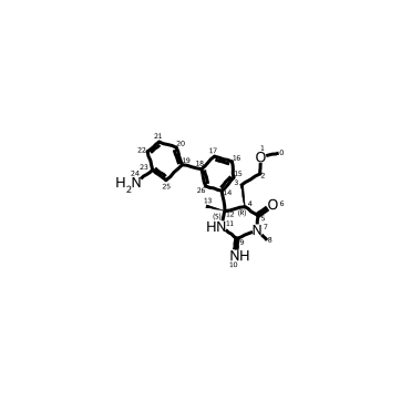 COCC[C@H]1C(=O)N(C)C(=N)N[C@]1(C)c1cccc(-c2cccc(N)c2)c1